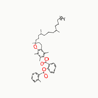 Cc1ccccc1C(=O)Oc1ccccc1C(=O)Oc1c(C)c(C)c2c(c1C)CCC(C)(CCCC(C)CCCC(C)CCCC(C)C)O2